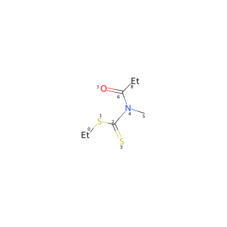 CCSC(=S)N(C)C(=O)CC